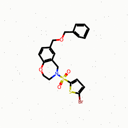 O=S(=O)(c1ccc(Br)s1)N1CCOc2ccc(COCc3ccccc3)cc2C1